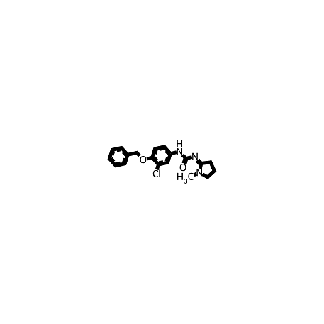 CN1CCCC1=NC(=O)Nc1ccc(OCc2ccccc2)c(Cl)c1